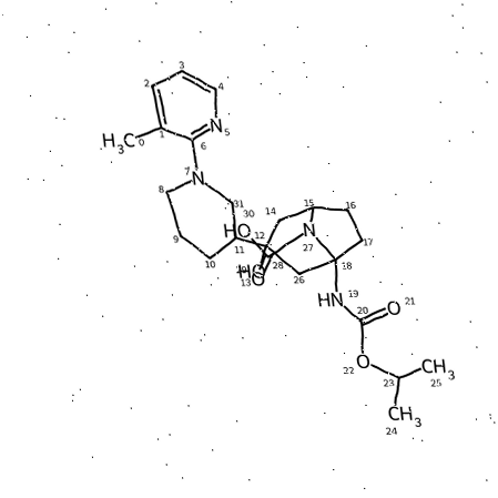 Cc1cccnc1N1CCCC(C2(O)CC3CCC(NC(=O)OC(C)C)(C2)N3C(=O)O)C1